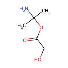 CC(C)(N)OC(=O)CO